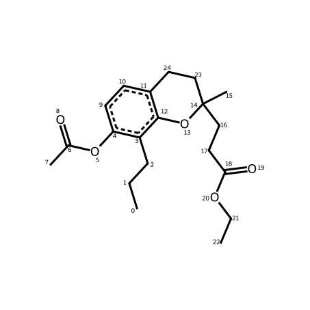 CCCc1c(OC(C)=O)ccc2c1OC(C)(CCC(=O)OCC)CC2